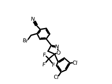 N#Cc1ccc(C2=NOC(c3cc(Cl)cc(Cl)c3)(C(F)(F)F)C2)cc1CBr